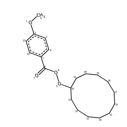 COc1ccc(C(=O)OO[C]2CCCCCCCCCCC2)cc1